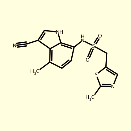 Cc1ncc(CS(=O)(=O)Nc2ccc(C)c3c(C#N)c[nH]c23)s1